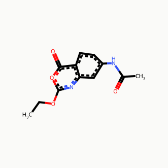 CCOc1nc2cc(NC(C)=O)ccc2c(=O)o1